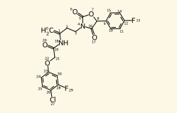 C=C(CCN1C(=O)OC(c2ccc(F)cc2)C1=O)NC(=O)COc1ccc(Cl)c(F)c1